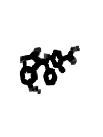 Cc1cc(N/C(=C2\C(=O)Nc3ccc(N)cc32)c2ccccc2)ccc1C(=O)O